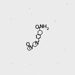 NC(=O)C1CCc2cc(CN3CCC(N4CCCC4=O)CC3)ccc2C1